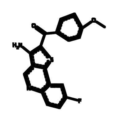 COc1ccc(C(=O)c2sc3c(cnc4ccc(F)cc43)c2N)cc1